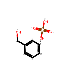 O=S(=O)(O)O.OCc1ccccc1